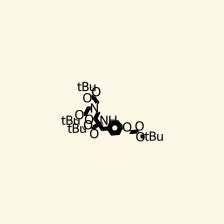 CC(C)(C)OC(=O)COc1ccc(C[C@@](N)(CCN(CC(=O)OC(C)(C)C)CC(=O)OC(C)(C)C)C(=O)OC(C)(C)C)cc1